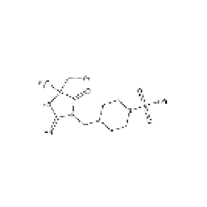 CCCS(=O)(=O)N1CCC(CN2C(=N)NC(C)(CC(C)C)C2=O)CC1